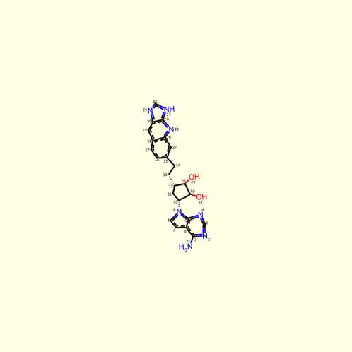 Nc1ncnc2c1ccn2[C@@H]1C[C@H](CCc2ccc3cc4nc[nH]c4nc3c2)[C@@H](O)[C@H]1O